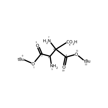 CC(C)(C)OC(=O)C(N)C(N)(C(=O)O)C(=O)OC(C)(C)C